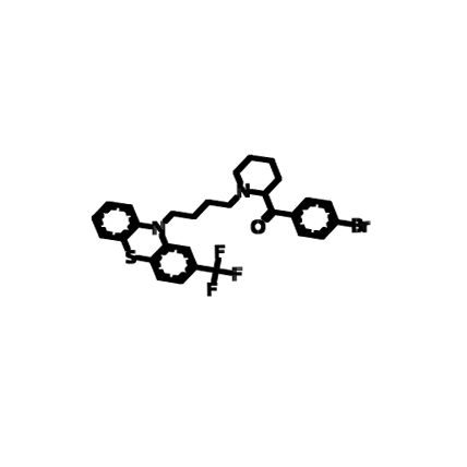 O=C(c1ccc(Br)cc1)C1CCCCN1CCCCN1c2ccccc2Sc2ccc(C(F)(F)F)cc21